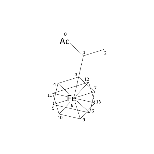 CC(=O)C(C)[C]12[CH]3[CH]4[CH]5[CH]1[Fe]45321678[CH]2[CH]1[CH]6[CH]7[CH]28